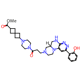 COC(=O)C1CC2(C1)CC(N1CCN(C(=O)CCN3CCN4c5cc(-c6ccccc6O)nnc5NC[C@H]4C3)CC1)C2